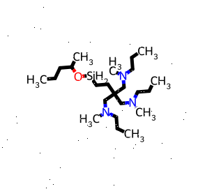 CCCC(C)O[SiH2]CCC(CN(C)CCC)(CN(C)CCC)CN(C)CCC